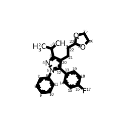 CC(C)c1nn(-c2ccccc2)c(-c2ccc(F)cc2)c1CCC1OCCO1